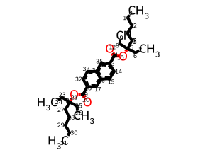 CCCCCC(CC)(CC)OC(=O)c1ccc2cc(C(=O)OC(CC)(CC)CCCCC)ccc2c1